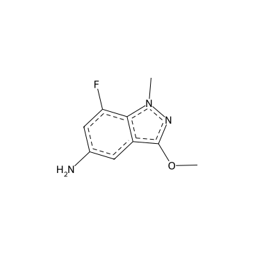 COc1nn(C)c2c(F)cc(N)cc12